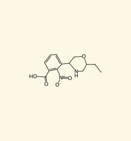 CCC1CNC(c2cccc(C(=O)O)c2[N+](=O)[O-])CO1